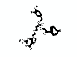 COc1ccc(COP(=O)(CCOCCn2cnc3c(=O)[nH]c(N)nc32)OCC(=O)c2ccc(F)cc2)cc1F